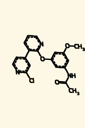 COc1cc(NC(C)=O)cc(Oc2ncccc2-c2ccnc(Cl)c2)c1